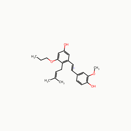 CCCOc1cc(O)cc(/C=C/c2ccc(O)c(OC)c2)c1CC=C(C)C